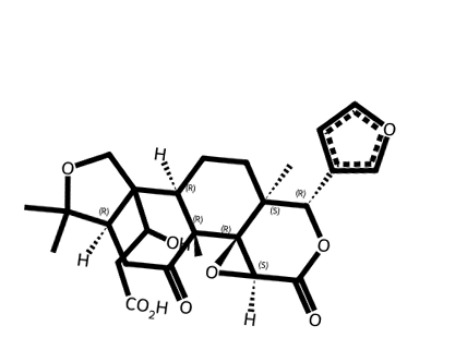 CC1(C)OCC2(C(O)CC(=O)O)[C@H]3CC[C@@]4(C)[C@H](c5ccoc5)OC(=O)[C@H]5O[C@]54[C@]3(C)C(=O)C[C@@H]12